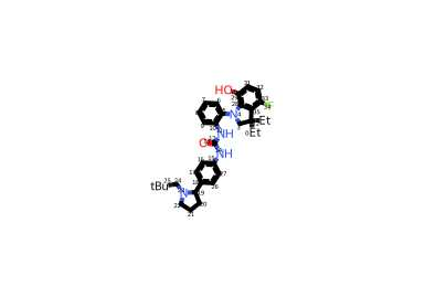 CCC1(CC)CN(c2ccccc2NC(=O)Nc2ccc(C3CCCN3CC(C)(C)C)cc2)c2c(O)ccc(F)c21